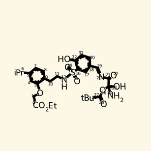 CCOC(=O)COc1cc(C(C)C)ccc1CCNS(=O)(=O)c1cc(C=NC(=O)C(N)(O)OC(=O)C(C)(C)C)ccc1O